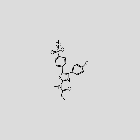 CCC(=O)N(C)c1nc(-c2ccc(Cl)cc2)c(-c2ccc(S(N)(=O)=O)cc2)s1